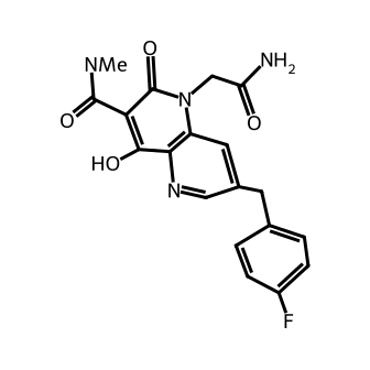 CNC(=O)c1c(O)c2ncc(Cc3ccc(F)cc3)cc2n(CC(N)=O)c1=O